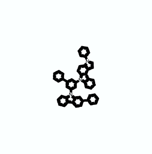 c1ccc(-c2cc(-n3c4ccccc4c4ccc(-c5ccccc5)cc43)cc(-n3c4ccccc4c4c5ccn(-c6ccccc6)c5ccc43)c2)cc1